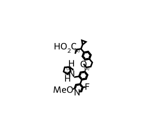 COc1cc(-c2ccc([C@@H]3CCc4ccc(C(C5CC5)[C@H](C)C(=O)O)cc4O3)cc2CN2C[C@H]3CC[C@@H]2C3)c(F)cn1